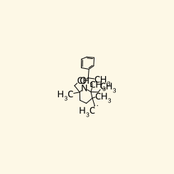 C[CH]C1(C)CCC(C)(CC)N(OC(C)c2ccccc2)C1(C)CC